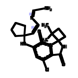 CC1(C)CCC12NC(=O)c1c(Cl)cc(NC3(/C=C\N=C/N)CCCC3)c(=O)n12